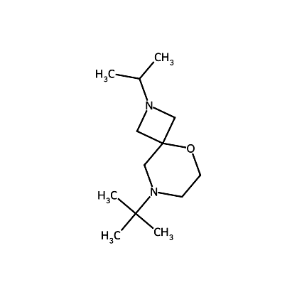 CC(C)N1CC2(C1)CN(C(C)(C)C)CCO2